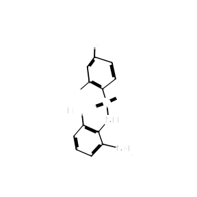 Cc1cc(Br)ccc1S(=O)(=O)Nc1c(C)cccc1N